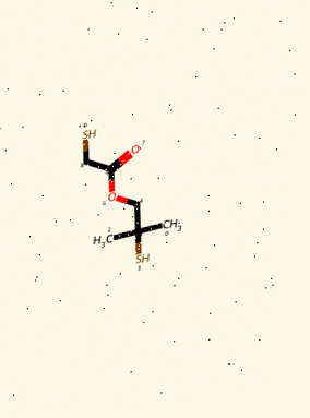 CC(C)(S)COC(=O)CS